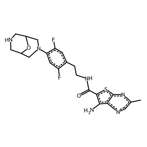 Cc1cnc2c(N)c(C(=O)NCCc3cc(F)c(N4CC5CNCC(C4)O5)cc3F)sc2n1